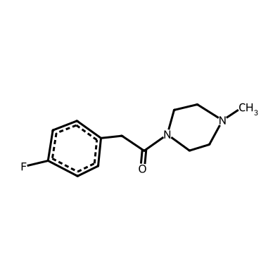 CN1CCN(C(=O)Cc2ccc(F)cc2)CC1